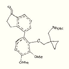 COc1ccc(-c2cccc3c2CCC3=O)c(OCC2(CNC(C)=O)CC2)c1OC